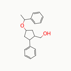 CC(OC1CC(CO)C(c2ccccc2)C1)c1ccccc1